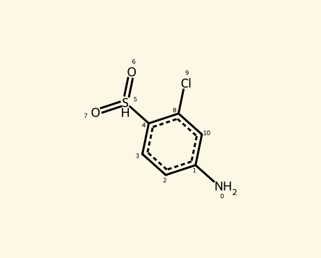 Nc1ccc([SH](=O)=O)c(Cl)c1